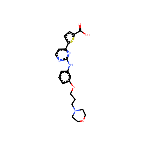 O=C(O)c1ccc(-c2ccnc(Nc3cccc(OCCCN4CCOCC4)c3)n2)s1